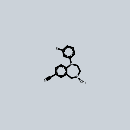 CN1CCN(c2cccc(F)c2)c2ccc(C#N)cc2C1